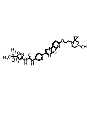 CN1CCN(CCOc2ccc3c(n2)sc2nc(-c4ccc(NC(=O)Nc5cc(C(C)(C)C)on5)cc4)cn23)C2(CC2)C1